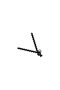 C=C(C)C1CC=C(C(CCCCCCCCCCCCCCCCCC)CCCCCCCCCCCCCCCCCC)C(=O)C1